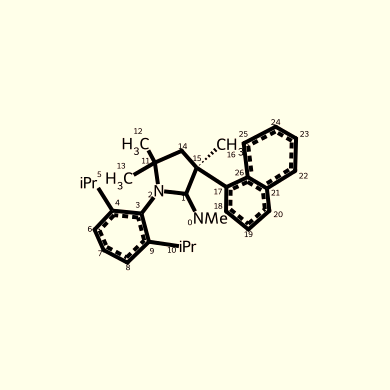 CNC1N(c2c(C(C)C)cccc2C(C)C)C(C)(C)C[C@@]1(C)c1cccc2ccccc12